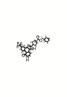 O=C(OCc1ccccc1)N1CCC(c2nc3c4cc(C(F)(F)F)ccc4c4c(=O)[nH]ccc4c3[nH]2)CC1